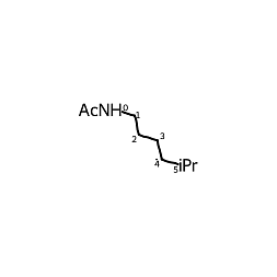 CC(=O)NCCC[CH]C(C)C